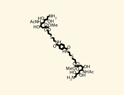 COC(=O)[C@@]1(OCCCSCCNC(=O)c2ccc(C(=O)NCCSCCCO[C@]3(C(=O)OC)C[C@H](O)[C@@H](NC(C)=O)C([C@H](O)[C@H](O)CN)O3)cc2)C[C@@H](O)[C@@H](NC(C)=O)C([C@H](O)[C@H](O)CN)O1